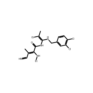 CCN/C(C(=O)N/C(NCc1ccc(Cl)c(Cl)c1)=C(/C)CC)=C(/C)C=N